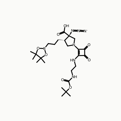 CC(C)(C)OC(=O)NCCNc1c(N2C[C@H](CCCB3OC(C)(C)C(C)(C)O3)[C@](N=[N+]=[N-])(C(=O)O)C2)c(=O)c1=O